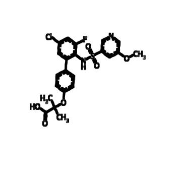 COc1cncc(S(=O)(=O)Nc2c(F)cc(Cl)cc2-c2ccc(OC(C)(C)C(=O)O)cc2)c1